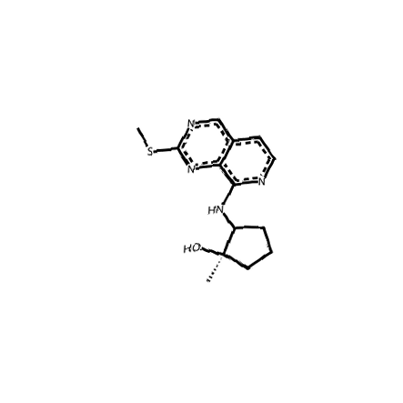 CSc1ncc2ccnc(NC3CCC[C@@]3(C)O)c2n1